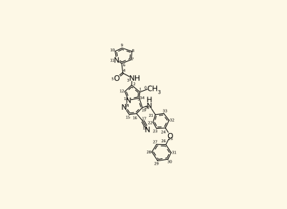 Cc1c(NC(=O)c2ccccn2)cn2ncc(C#N)c(Nc3ccc(Oc4ccccc4)cc3)c12